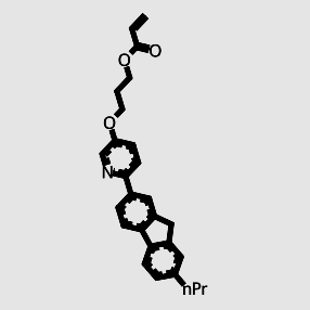 C=CC(=O)OCCCOc1ccc(-c2ccc3c(c2)Cc2cc(CCC)ccc2-3)nc1